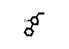 C=Cc1ccc(-c2ccccc2)c(CC)c1